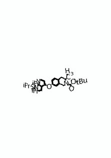 CC1Cc2ccc(Oc3ccnc4c3ccn4[Si](C(C)C)(C(C)C)C(C)C)cc2CN1C(=O)OC(C)(C)C